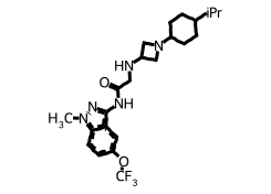 CC(C)C1CCC(N2CC(NCC(=O)Nc3nn(C)c4ccc(OC(F)(F)F)cc34)C2)CC1